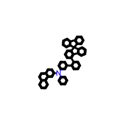 c1ccc(N(c2cccc(-c3ccccc3-c3cccc4c3-c3ccccc3C43c4ccccc4-c4ccccc43)c2)c2ccc3ccc4ccccc4c3c2)cc1